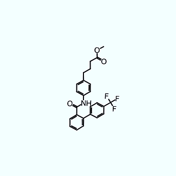 COC(=O)CCCc1ccc(NC(=O)c2ccccc2-c2ccc(C(F)(F)F)cc2)cc1